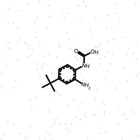 CC(C)(C)c1ccc(NC(=O)O)c(N)c1